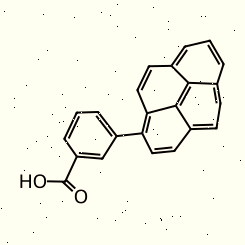 O=C(O)c1cccc(-c2ccc3ccc4cccc5ccc2c3c45)c1